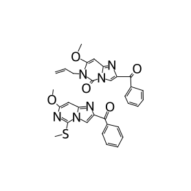 C=CCn1c(OC)cc2nc(C(=O)c3ccccc3)cn2c1=O.COc1cc2nc(C(=O)c3ccccc3)cn2c(SC)n1